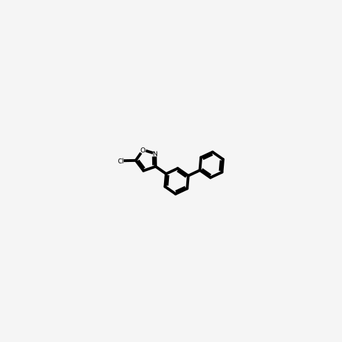 Clc1cc(-c2cccc(-c3ccccc3)c2)no1